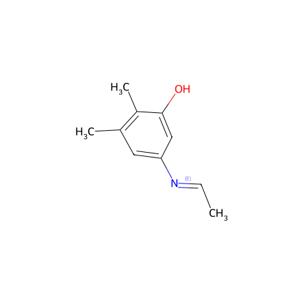 C/C=N/c1cc(C)c(C)c(O)c1